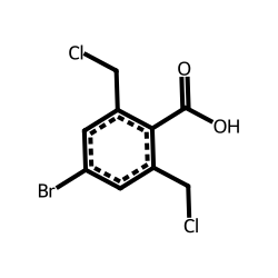 O=C(O)c1c(CCl)cc(Br)cc1CCl